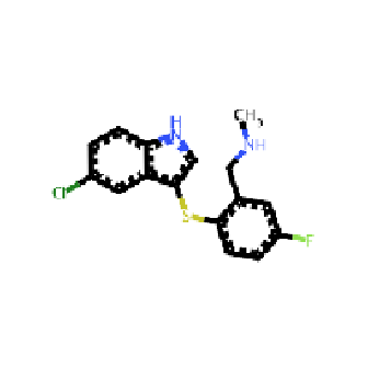 CNCc1cc(F)ccc1Sc1c[nH]c2ccc(Cl)cc12